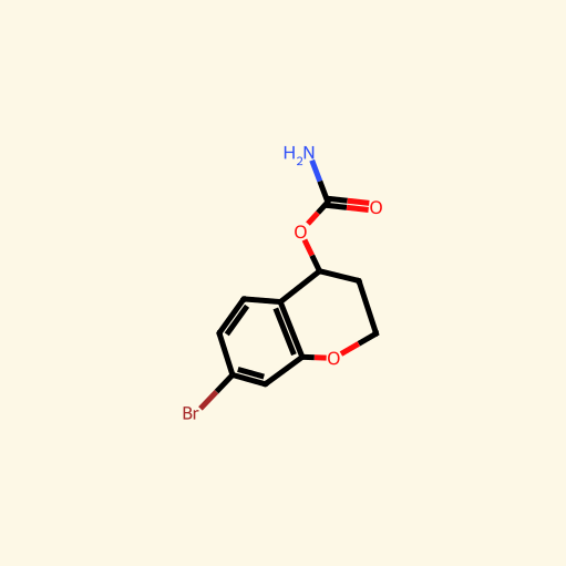 NC(=O)OC1CCOc2cc(Br)ccc21